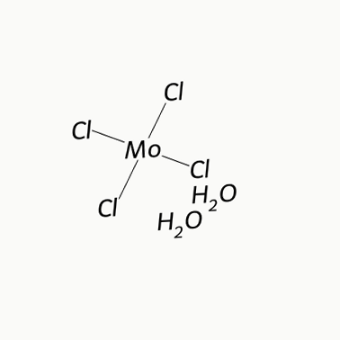 O.O.[Cl][Mo]([Cl])([Cl])[Cl]